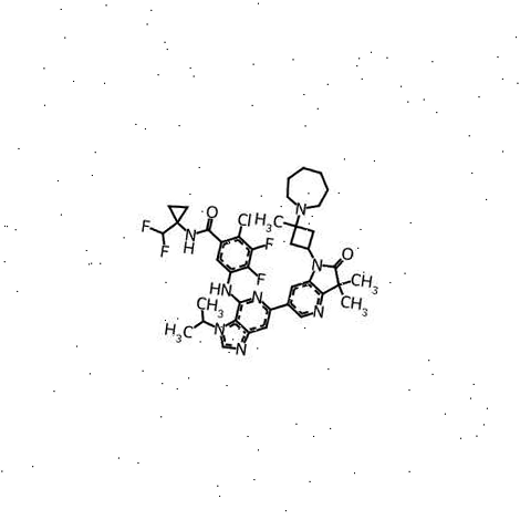 CC(C)n1cnc2cc(-c3cnc4c(c3)N(C3CC(C)(N5CCCCCC5)C3)C(=O)C4(C)C)nc(Nc3cc(C(=O)NC4(C(F)F)CC4)c(Cl)c(F)c3F)c21